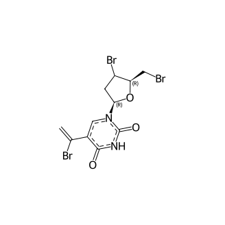 C=C(Br)c1cn([C@H]2CC(Br)[C@@H](CBr)O2)c(=O)[nH]c1=O